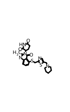 Cc1nc2cccc(SCc3ncc(CN4CCCCC4)s3)c2c(=O)n1C1CCC(=O)NC1=O